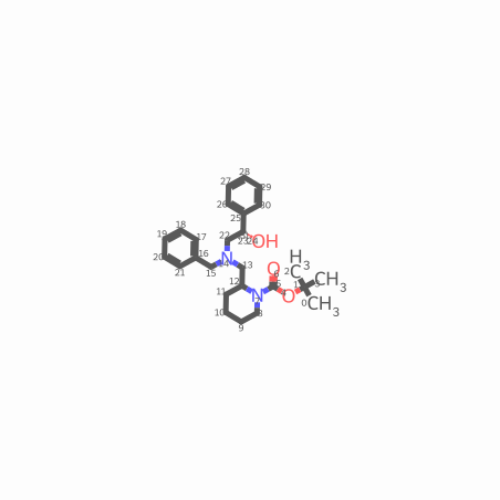 CC(C)(C)OC(=O)N1CCCCC1CN(Cc1ccccc1)C[C@@H](O)c1ccccc1